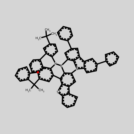 CC(C)(C)c1ccc(N2B3c4c(cc5c(sc6ccccc65)c4-c4cc5c(cc42)-c2ccccc2C5(C)C)-n2c4ccc(-c5ccccc5)cc4c4cc(-c5ccccc5)cc3c42)c(-c2ccccc2)c1